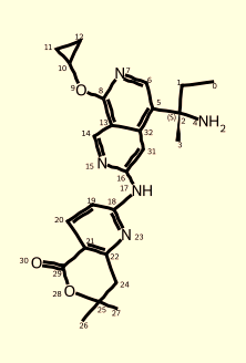 CC[C@](C)(N)c1cnc(OC2CC2)c2cnc(Nc3ccc4c(n3)CC(C)(C)OC4=O)cc12